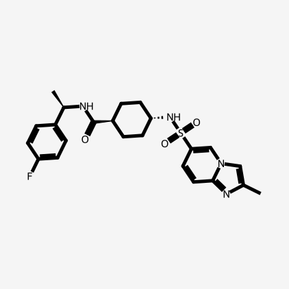 Cc1cn2cc(S(=O)(=O)N[C@H]3CC[C@H](C(=O)N[C@H](C)c4ccc(F)cc4)CC3)ccc2n1